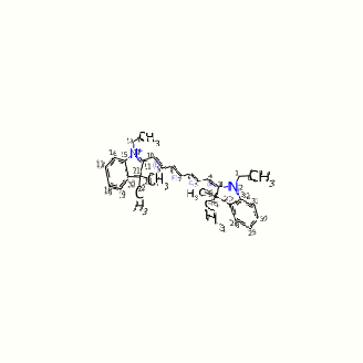 CCN1/C(=C/C=C/C=C/C=C/C2=[N+](CC)c3ccccc3C2(C)C)C(C)(C)c2ccccc21